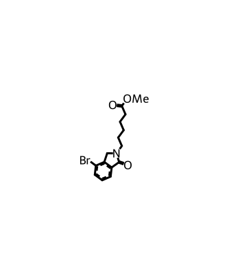 COC(=O)CCCCCN1Cc2c(Br)cccc2C1=O